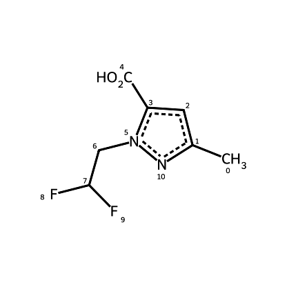 Cc1cc(C(=O)O)n(CC(F)F)n1